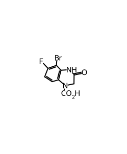 O=C1CN(C(=O)O)c2ccc(F)c(Br)c2N1